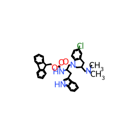 CN(C)CC1Cc2cc(Cl)ccc2N(C(=O)C(Cc2c[nH]c3ccccc23)NC(=O)OCC2c3ccccc3-c3ccccc32)C1